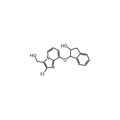 CCc1nc2c(OC3c4ccccc4CC3O)cccn2c1CO